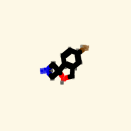 Brc1ccc2c(c1)COC21CNC1